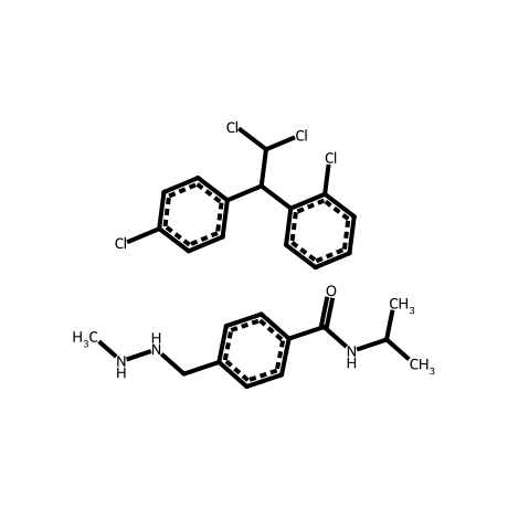 CNNCc1ccc(C(=O)NC(C)C)cc1.Clc1ccc(C(c2ccccc2Cl)C(Cl)Cl)cc1